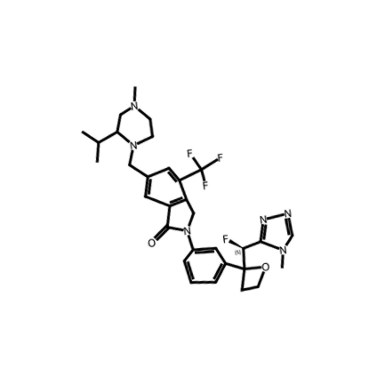 CC(C)C1CN(C)CCN1Cc1cc2c(c(C(F)(F)F)c1)CN(c1cccc(C3([C@@H](F)c4nncn4C)CCO3)c1)C2=O